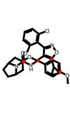 COc1ccc(CNC(=O)N2C3CCC2CC(OCc2c(-c4c(Cl)cccc4Cl)noc2C2CC2)C3)cc1